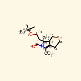 C[C@@H](O[Si](C)(C)C(C)(C)C)[C@H]1C(=O)N2C(C(=O)O)=C3CCSC[C@@H]3[C@H]12